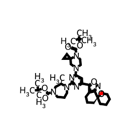 C[C@H]1CN(C(=O)OC(C)(C)C)CCCN1c1nc(-c2onc3c2CCC[C@@]32CCCCC23OCCO3)cc(N2CCN(C(=O)OC(C)(C)C)C3(CC3)C2)n1